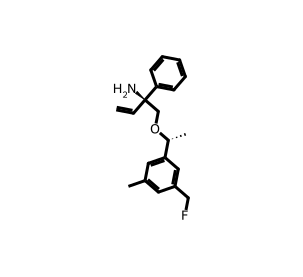 C=C[C@@](N)(CO[C@H](C)c1cc(C)cc(CF)c1)c1ccccc1